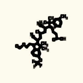 Cc1ccc2c(c1)C(C)(C)C(/C(C#N)=C/C(Cl)=C/C(C#N)=C1/N(CCOC=O)c3ccc(OC(F)(F)F)cc3C1(C)C)=[N+]2CCC(=O)O